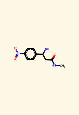 CNC(=O)CC(N)c1ccc([N+](=O)[O-])cc1